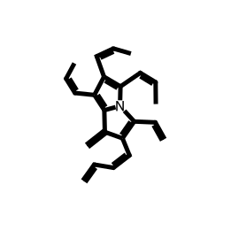 C=C/C=C\c1c(C=C)n2c(/C=C\C)c(/C=C\C)c(/C=C\C)c2c1=C